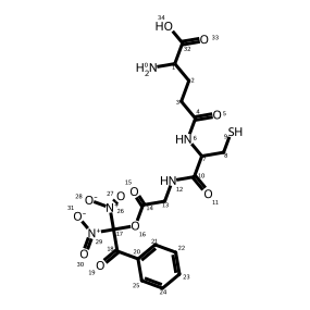 NC(CCC(=O)NC(CS)C(=O)NCC(=O)OC(C(=O)c1ccccc1)([N+](=O)[O-])[N+](=O)[O-])C(=O)O